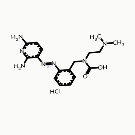 CN(C)CCN(Cc1ccccc1/N=N/c1ccc(N)nc1N)C(=O)O.Cl